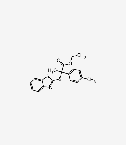 CCOC(=O)C(C)(Sc1nc2ccccc2s1)c1ccc(C)cc1